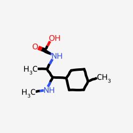 CNC(C1CCC(C)CC1)C(C)NC(=O)O